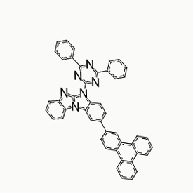 c1ccc(-c2nc(-c3ccccc3)nc(-n3c4ccc(-c5ccc6c7ccccc7c7ccccc7c6c5)cc4n4c5ccccc5nc34)n2)cc1